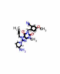 CC#CCn1c(N2CCC[C@@H](N)C2)nc2c1c(=O)n(Cc1ccc(OC)cc1C#N)c(=O)n2C